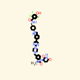 Cn1c(=O)n(C2CCC(=O)NC2=O)c2ccc(CN3CCN(c4ncc(-c5ccc6cn([C@H]7CC[C@H](CNC(=O)c8cc(F)c(O)c(F)c8F)CC7)nc6c5)cn4)CC3)cc21